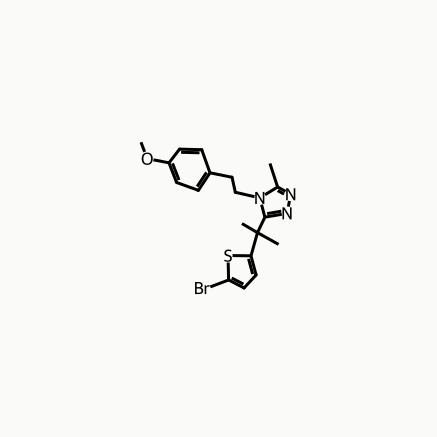 COc1ccc(CCn2c(C)nnc2C(C)(C)c2ccc(Br)s2)cc1